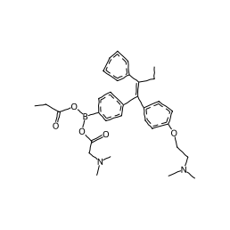 CCC(=O)OB(OC(=O)CN(C)C)c1ccc(C(=C(CC)c2ccccc2)c2ccc(OCCN(C)C)cc2)cc1